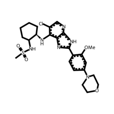 COc1cc(N2CCOCC2)ccc1-c1nc2c(N[C@@H]3CCCCC3NS(C)(=O)=O)c(Cl)cnc2[nH]1